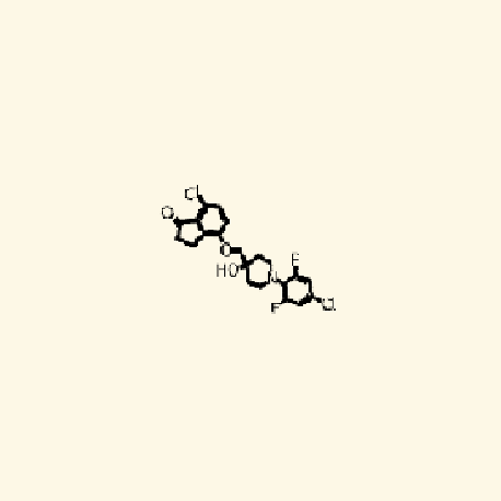 O=C1CCc2c(OCC3(O)CCN(c4c(F)cc(Cl)cc4F)CC3)ccc(Cl)c21